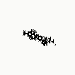 Nc1nccc(-c2ccc(CN3CCOc4cc(C5CC5)cc(F)c4C3=O)c(F)c2)c1N